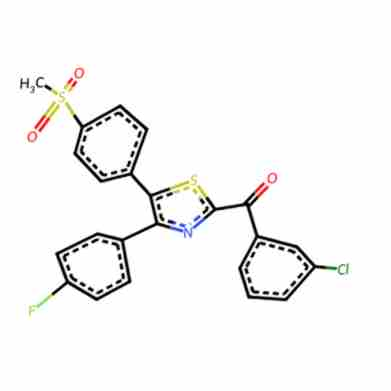 CS(=O)(=O)c1ccc(-c2sc(C(=O)c3cccc(Cl)c3)nc2-c2ccc(F)cc2)cc1